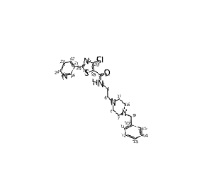 O=C(NCCN1CCN(Cc2ccccc2)CC1)c1sc(-c2cccnc2)nc1Cl